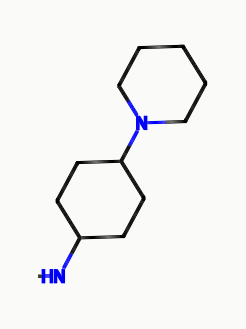 [NH]C1CCC(N2CCCCC2)CC1